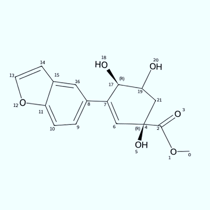 COC(=O)[C@]1(O)C=C(c2ccc3occc3c2)[C@@H](O)C(O)C1